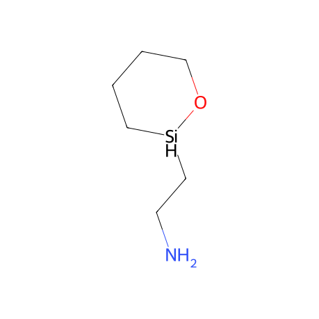 NCC[SiH]1CCCCO1